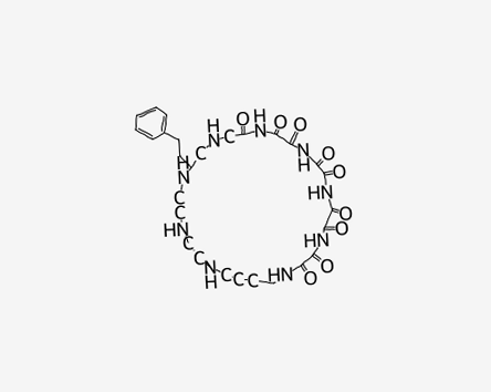 O=C1CNCC(CCc2ccccc2)NCCNCCNCCCCNC(=O)C(=O)NC(=O)C(=O)NC(=O)C(=O)NC(=O)C(=O)N1